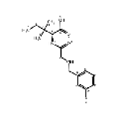 CCC(C)(C)[C@H](NC(=O)CNCc1cccc(F)c1)C(=O)O